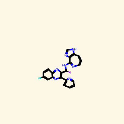 Fc1ccc2nc([C@H](I)NC3=NC=C=Cc4[nH]cnc43)c(-c3ccccn3)nc2c1